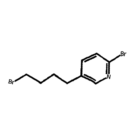 BrCCCCc1ccc(Br)nc1